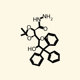 CC1(C)O[C@H]([C@H](O)C(O)C(c2ccccc2)(c2ccccc2)c2ccccc2)[C@H](C(=O)NN)O1